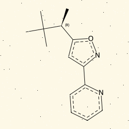 C[C@@H](c1cc(-c2ccccn2)no1)C(C)(C)C